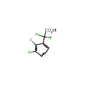 CCOC(=O)C(F)(F)c1cccc(F)c1F